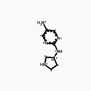 Nc1cnc(N[C@H]2CCNC2)nc1